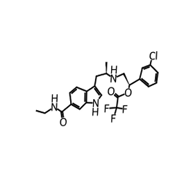 CCNC(=O)c1ccc2c(C[C@@H](C)NC[C@H](OC(=O)C(F)(F)F)c3cccc(Cl)c3)c[nH]c2c1